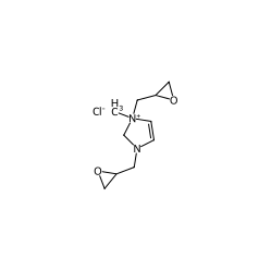 C[N+]1(CC2CO2)C=CN(CC2CO2)C1.[Cl-]